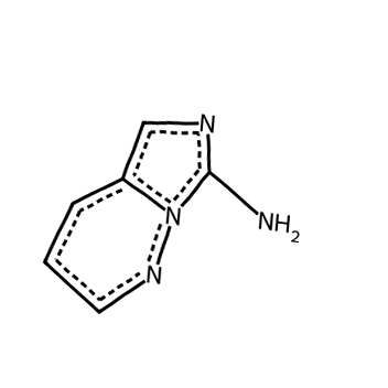 Nc1ncc2cccnn12